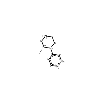 C[C@@H]1CNCCN1c1ccnnc1